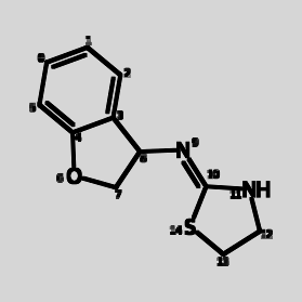 c1ccc2c(c1)OCC2N=C1NCCS1